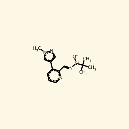 Cn1cc(-c2cccnc2C=N[S+]([O-])C(C)(C)C)cn1